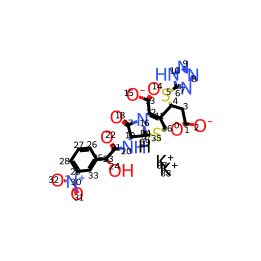 O=C([O-])CC(Sc1nnn[nH]1)C1=C(C(=O)[O-])N2C(=O)C(NC(=O)C(O)c3cccc([N+](=O)[O-])c3)[C@@H]2SC1.[K+].[K+]